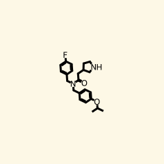 CC(C)Oc1ccc(CN(Cc2ccc(F)cc2)C(=O)CC2CCNC2)cc1